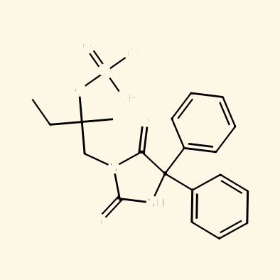 CCC(C)(CN1C(=O)NC(c2ccccc2)(c2ccccc2)C1=O)OP(=O)(O)O